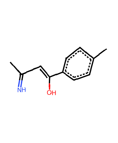 CC(=N)/C=C(\O)c1ccc(C)cc1